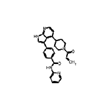 C=CC(=O)N1CCC(c2ccnc3[nH]cc(-c4ccc(C(=O)Nc5ccccn5)cc4)c23)CC1